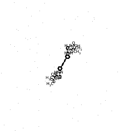 COC(=O)N[C@H](C(=O)N1CCC[C@H]1c1nc2cc(C#CC#Cc3ccc4[nH]c([C@@H]5CCCN5C(=O)[C@H](C(C)C)N(C)C(=O)O)nc4c3)ccc2[nH]1)C(C)C